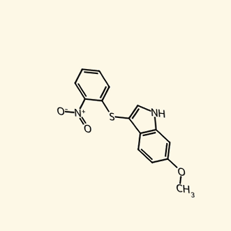 COc1ccc2c(Sc3ccccc3[N+](=O)[O-])c[nH]c2c1